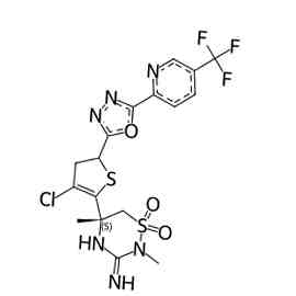 CN1C(=N)N[C@](C)(C2=C(Cl)CC(c3nnc(-c4ccc(C(F)(F)F)cn4)o3)S2)CS1(=O)=O